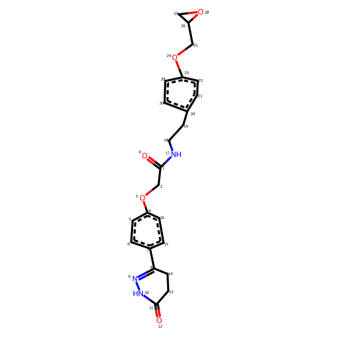 O=C(COc1ccc(C2=NNC(=O)CC2)cc1)NCCc1ccc(OCC2CO2)cc1